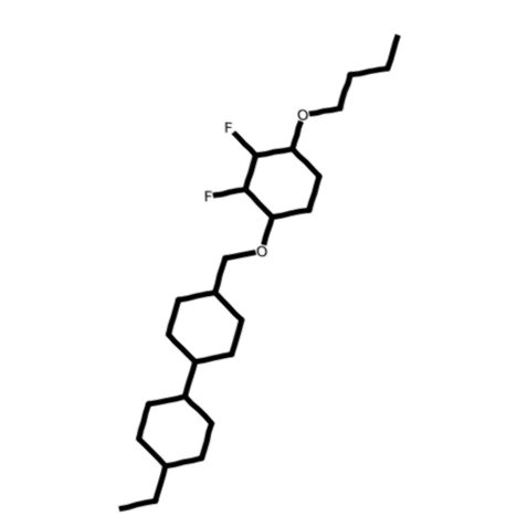 CCCCOC1CCC(OCC2CCC(C3CCC(CC)CC3)CC2)C(F)C1F